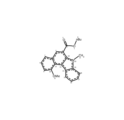 CCCCOC(=O)c1cc2cccc(OC)c2c2c3ccccc3n(C)c12